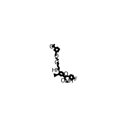 CNC(=O)c1c(-c2ccc(F)cc2)oc2cc(NCCCOCCOCc3cccc(C(C)=O)c3)c(C3CC3)cc12